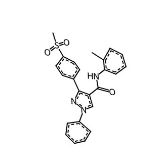 Cc1ccccc1NC(=O)c1cn(-c2ccccc2)nc1-c1ccc(S(C)(=O)=O)cc1